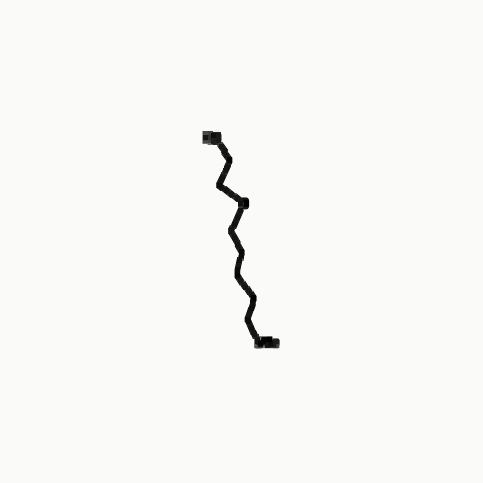 CSCCCCCOCCO